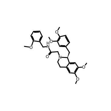 COc1ccccc1CNC(=O)CN1CCc2cc(OC)c(OC)cc2[C@@H]1Cc1ccc(OC)c(OC)c1